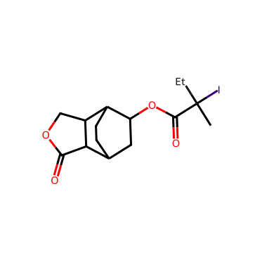 CCC(C)(I)C(=O)OC1CC2CCC1C1COC(=O)C21